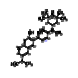 CC(C)c1cnc2cc(O)c(C(=N)/C=C\C(=N)N(C)C3CC(C)(C)NC(C)(C)C3)cc2c1